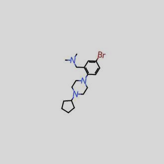 CN(C)Cc1cc(Br)ccc1N1CCN(C2CCCC2)CC1